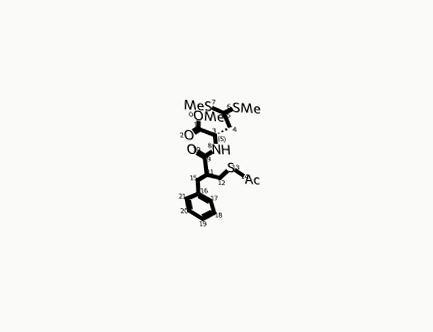 COC(=O)[C@H](CC(SC)SC)NC(=O)C(CSC(C)=O)Cc1ccccc1